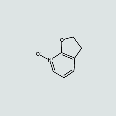 [O-][n+]1cccc2c1OCC2